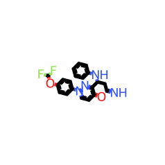 N=CCC(Nc1ccccc1)c1nn(-c2ccc(OC(F)F)cc2)ccc1=O